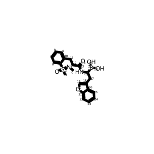 CN=S(C)(=O)c1ccccc1CCC(=O)NC(Cc1coc2ccccc12)B(O)O